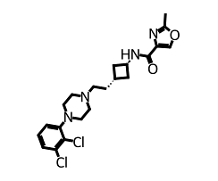 Cc1nc(C(=O)N[C@H]2C[C@@H](CCN3CCN(c4cccc(Cl)c4Cl)CC3)C2)co1